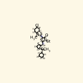 CCn1c(=O)/c(=C2\Sc3cc(Cl)ccc3N2C)s/c1=C\c1scc[n+]1[C@H](C)c1ccccc1